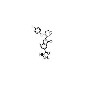 NNC(=O)c1cnc2c(c1)C(=O)N([C@@H]1COCC[C@H]1Oc1ccc(F)cc1)C2